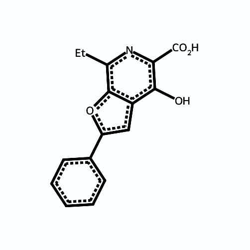 CCc1nc(C(=O)O)c(O)c2cc(-c3ccccc3)oc12